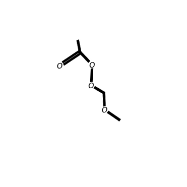 COCOOC(C)=O